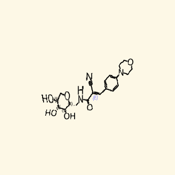 N#C/C(=C\c1ccc(N2CCOCC2)cc1)C(=O)NC[C@H]1OC[C@H](O)[C@@H](O)[C@@H]1O